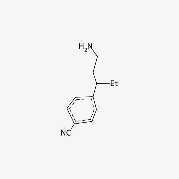 CCC(CCN)c1ccc(C#N)cc1